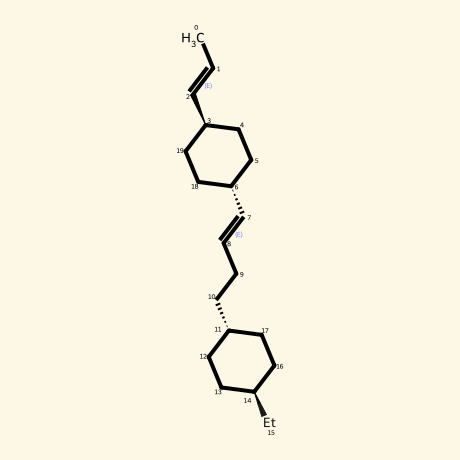 C/C=C/[C@H]1CC[C@H](/C=C/CC[C@H]2CC[C@H](CC)CC2)CC1